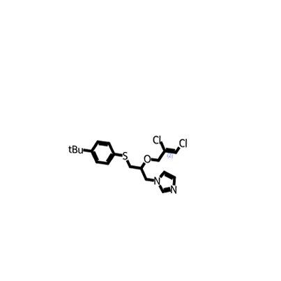 CC(C)(C)c1ccc(SCC(Cn2ccnc2)OC/C(Cl)=C/Cl)cc1